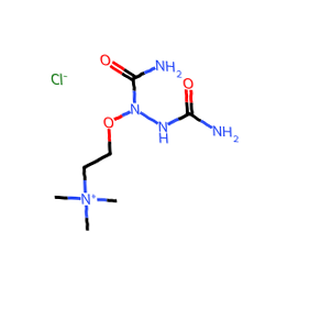 C[N+](C)(C)CCON(NC(N)=O)C(N)=O.[Cl-]